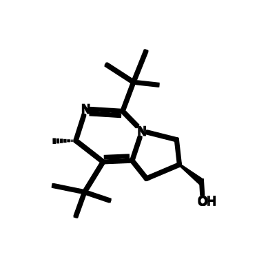 C[C@@H]1N=C(C(C)(C)C)N2C[C@@H](CO)CC2=C1C(C)(C)C